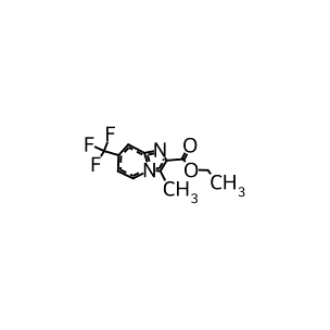 CCOC(=O)c1nc2cc(C(F)(F)F)ccn2c1C